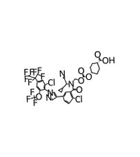 N#CC(C1CC1)N(COC(=O)O[C@H]1CC[C@@H](C(=O)O)CC1)C(=O)c1cc(-c2cnn(-c3c(Cl)cc(C(F)(C(F)(F)F)C(F)(F)F)cc3OC(F)(F)F)c2)ccc1Cl